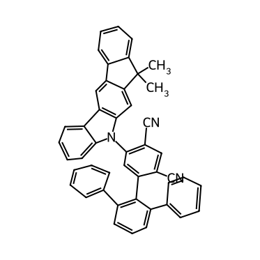 CC1(C)c2ccccc2-c2cc3c4ccccc4n(-c4cc(-c5c(-c6ccccc6)cccc5-c5ccccc5)c(C#N)cc4C#N)c3cc21